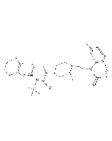 Cc1cnc2ccc(=O)n(CCN3CCC(N(Cc4cc5c(cn4)OCCO5)C(=O)OC(C)(C)C)CC3C)c2c1